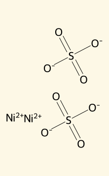 O=S(=O)([O-])[O-].O=S(=O)([O-])[O-].[Ni+2].[Ni+2]